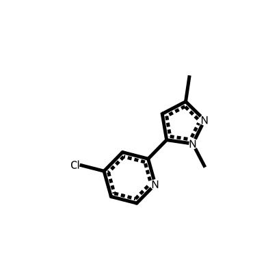 Cc1cc(-c2cc(Cl)ccn2)n(C)n1